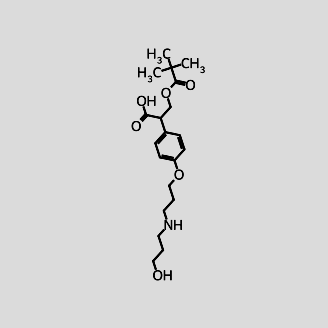 CC(C)(C)C(=O)OCC(C(=O)O)c1ccc(OCCCNCCCO)cc1